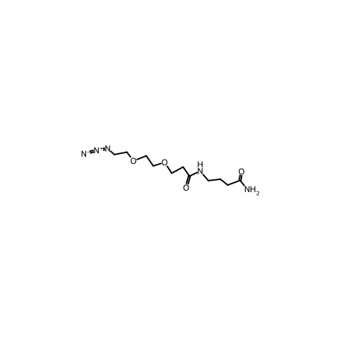 [N-]=[N+]=NCCOCCOCCC(=O)NCCCC(N)=O